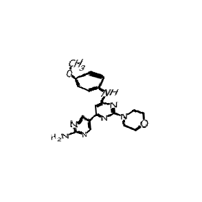 COc1ccc(Nc2cc(-c3cnc(N)nc3)nc(N3CCOCC3)n2)cc1